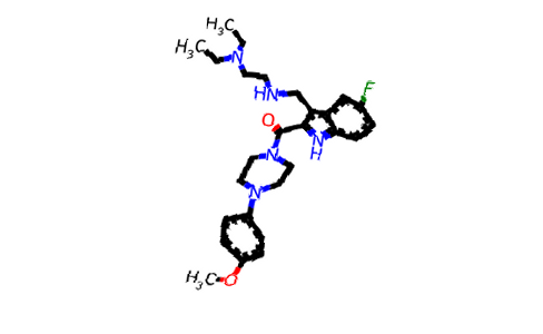 CCN(CC)CCNCc1c(C(=O)N2CCN(c3ccc(OC)cc3)CC2)[nH]c2ccc(F)cc12